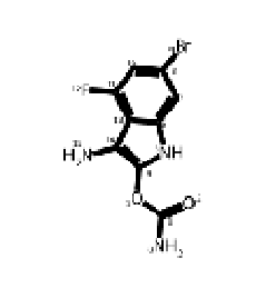 NC(=O)Oc1[nH]c2cc(Br)cc(F)c2c1N